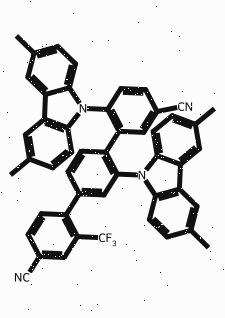 Cc1ccc2c(c1)c1cc(C)ccc1n2-c1ccc(C#N)cc1-c1ccc(-c2ccc(C#N)cc2C(F)(F)F)cc1-n1c2ccc(C)cc2c2cc(C)ccc21